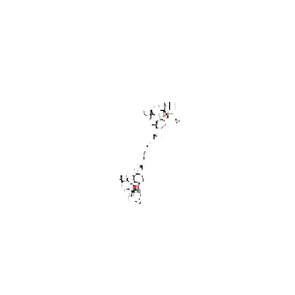 O=C(OCCOCCOC(=O)Oc1ccc2c3c1O[C@H]1C(=O)CC[C@@]4(O)[C@@H](C2)N(CC2CC2)CC[C@]314)Oc1ccc2c3c1O[C@H]1C(=O)CC[C@@]4(O)[C@@H](C2)N(CC2CC2)CC[C@]314